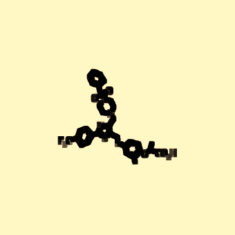 Cc1cc(SCc2sc(-c3ccc(C(F)(F)F)cc3)nc2CN2CCN(S(=O)(=O)c3ccccc3)CC2)ccc1OC(C)C(=O)O